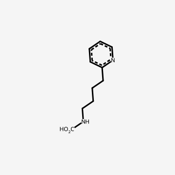 O=C(O)NCCCCc1ccccn1